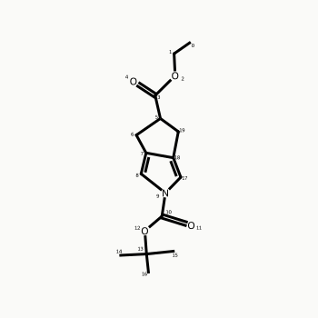 CCOC(=O)C1Cc2cn(C(=O)OC(C)(C)C)cc2C1